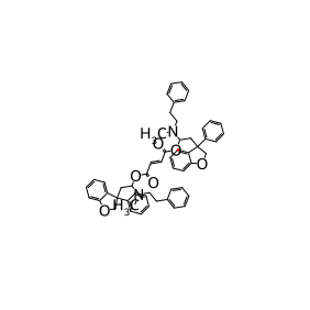 CN(CCc1ccccc1)C(CC1(c2ccccc2)COc2ccccc21)OC(=O)/C=C/C(=O)OC(CC1(c2ccccc2)COc2ccccc21)N(C)CCc1ccccc1